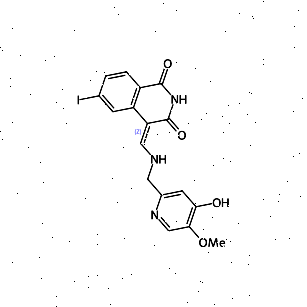 COc1cnc(CN/C=C2\C(=O)NC(=O)c3ccc(I)cc32)cc1O